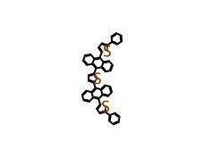 c1ccc(-c2ccc(-c3c4ccccc4c(-c4ccc(-c5c6ccccc6c(-c6ccc(-c7ccccc7)s6)c6ccccc56)s4)c4ccccc34)s2)cc1